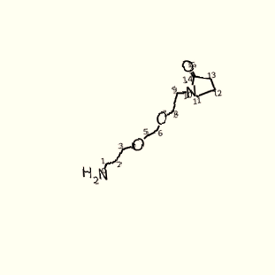 NCCCOCCOCCN1CCCC1=O